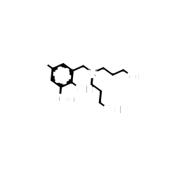 Cc1cc(CN(CCCO)CCCO)c(O)c(C(C)(C)C)c1